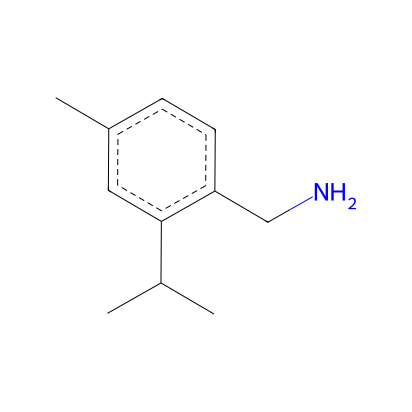 Cc1ccc(CN)c(C(C)C)c1